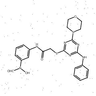 O=CN(O)c1cccc(NC(=O)CSc2nc(Nc3ccccc3)nc(N3CCOCC3)n2)c1